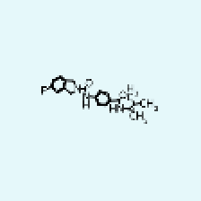 CC(C)[C@H](C)NC(=O)c1ccc(NC(=O)N2Cc3ccc(F)cc3C2)cc1